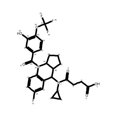 O=C(O)CCC(=O)N(C1CC1)C1c2cc(F)ccc2N(C(=O)c2ccc(OC(F)(F)F)c(O)c2)C2CCCC21